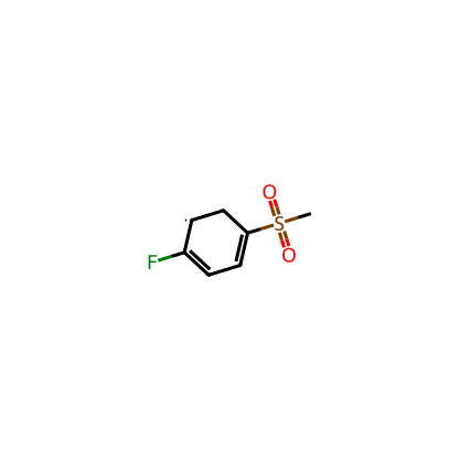 CS(=O)(=O)C1=CC=C(F)[CH]C1